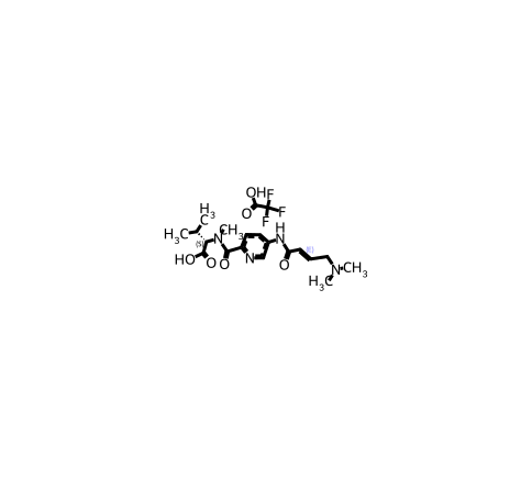 CC(C)[C@@H](C(=O)O)N(C)C(=O)c1ccc(NC(=O)/C=C/CN(C)C)cn1.O=C(O)C(F)(F)F